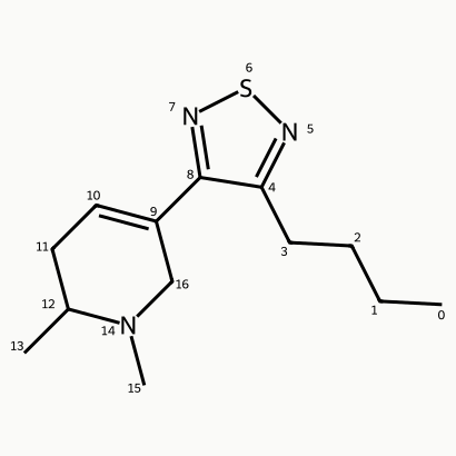 CCCCc1nsnc1C1=CCC(C)N(C)C1